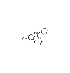 O=C(O)c1cc(Cl)ccc1C(=O)NC1CCCCC1